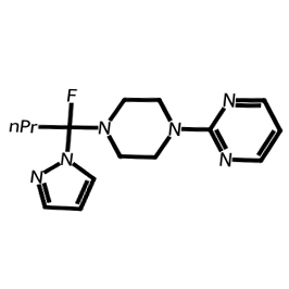 [CH2]CCC(F)(N1CCN(c2ncccn2)CC1)n1cccn1